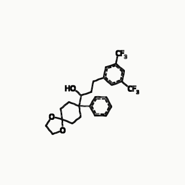 OC(CCc1cc(C(F)(F)F)cc(C(F)(F)F)c1)C1(c2ccccc2)CCC2(CC1)OCCO2